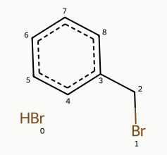 Br.BrCc1ccccc1